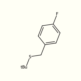 CC(C)(C)SCc1ccc(F)cc1